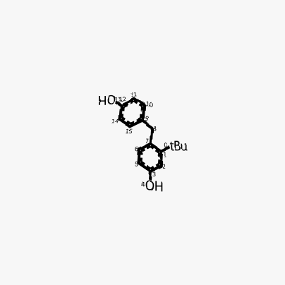 CC(C)(C)c1cc(O)ccc1Cc1ccc(O)cc1